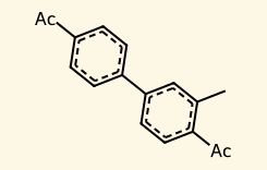 CC(=O)c1ccc(-c2ccc(C(C)=O)c(C)c2)cc1